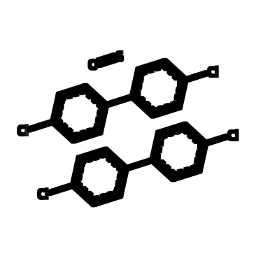 Clc1ccc(-c2ccc(Cl)cc2)cc1.Clc1ccc(-c2ccc(Cl)cc2)cc1.O=S